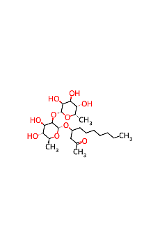 CCCCCCCC(CC(C)=O)O[C@@H]1O[C@@H](C)[C@H](O)[C@@H](O)[C@H]1O[C@H]1O[C@@H](C)[C@@H](O)[C@H](O)[C@@H]1O